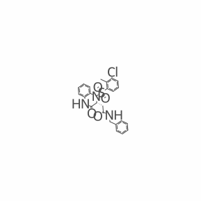 Cc1c(Cl)cccc1S(=O)(=O)N1c2ccccc2NC(=O)[C@H]1CC(=O)NCc1ccccc1